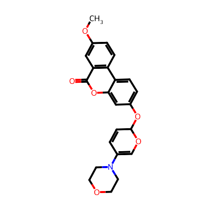 COc1ccc2c(c1)c(=O)oc1cc(OC3C=CC(N4CCOCC4)=CO3)ccc12